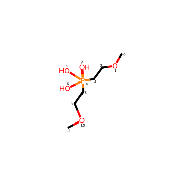 COCCP(O)(O)(O)CCOC